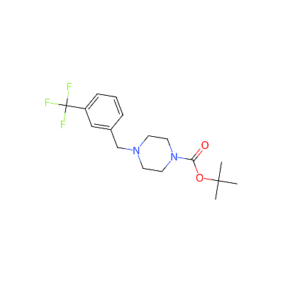 CC(C)(C)OC(=O)N1CCN(Cc2cccc(C(F)(F)F)c2)CC1